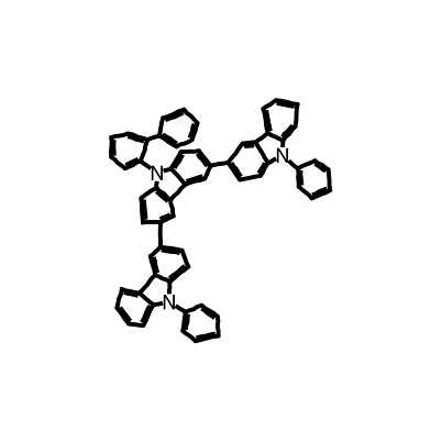 c1ccc(-c2ccccc2-n2c3ccc(-c4ccc5c(c4)c4ccccc4n5-c4ccccc4)cc3c3cc(-c4ccc5c(c4)c4ccccc4n5-c4ccccc4)ccc32)cc1